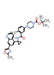 Cc1nc(-c2cc(C3(NC(=O)c4cc(N5CCN(C(=O)OC(C)(C)C)CC5)ccc4C)CC3)c3cccnc3c2)co1